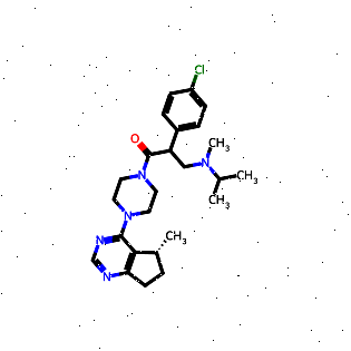 CC(C)N(C)CC(C(=O)N1CCN(c2ncnc3c2[C@H](C)CC3)CC1)c1ccc(Cl)cc1